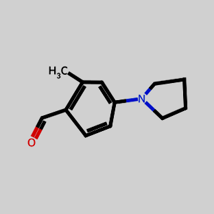 Cc1cc(N2CCCC2)ccc1C=O